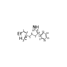 CC/C=C\[C@@H](C)CCC/C(=C\C=N)c1ccccc1